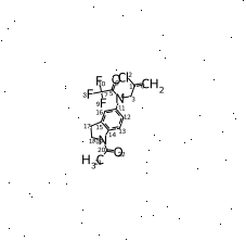 C=C(Cl)CN(C(=O)C(F)(F)F)c1ccc2c(c1)CCN2C(C)=O